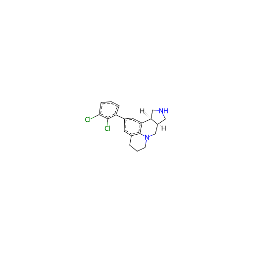 Clc1cccc(-c2cc3c4c(c2)[C@H]2CNC[C@H]2CN4CCC3)c1Cl